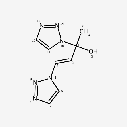 CC(O)(C=Cn1ccnn1)n1ccnn1